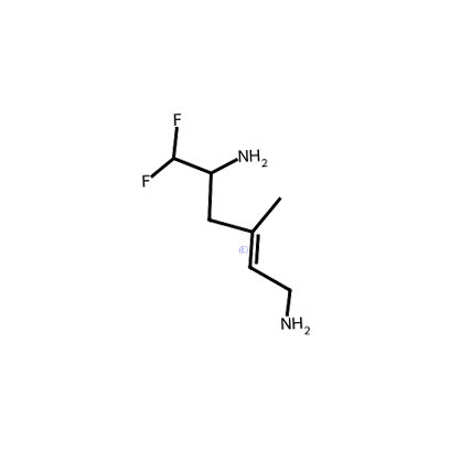 C/C(=C\CN)CC(N)C(F)F